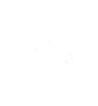 CC(C)(C)OC(=O)n1cc(CN2CCC(c3ccc4[nH]nnc4c3)C2)c2ccccc21